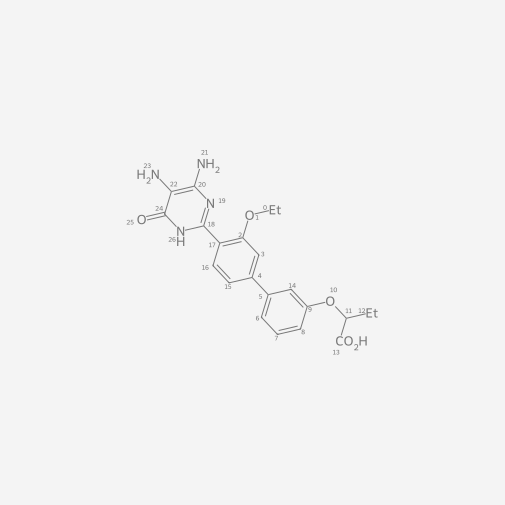 CCOc1cc(-c2cccc(OC(CC)C(=O)O)c2)ccc1-c1nc(N)c(N)c(=O)[nH]1